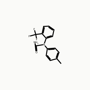 Cc1ccc(N(C(N)=O)c2ccccc2C(F)(F)F)cc1